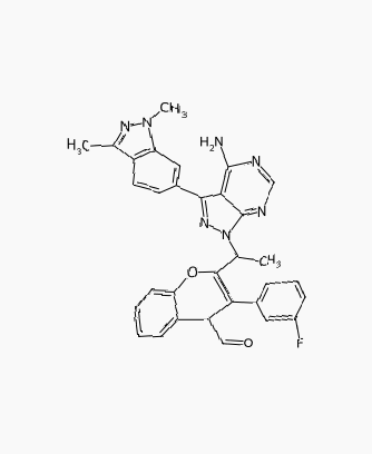 Cc1nn(C)c2cc(-c3nn(C(C)C4=C(c5cccc(F)c5)C(C=O)c5ccccc5O4)c4ncnc(N)c34)ccc12